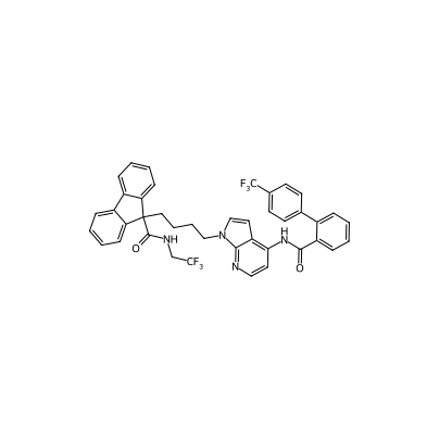 O=C(Nc1ccnc2c1ccn2CCCCC1(C(=O)NCC(F)(F)F)c2ccccc2-c2ccccc21)c1ccccc1-c1ccc(C(F)(F)F)cc1